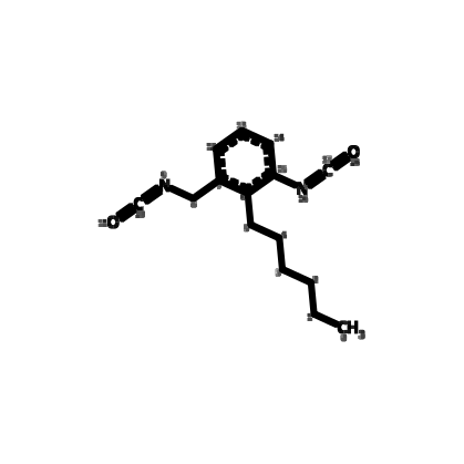 CCCCCCc1c(CN=C=O)cccc1N=C=O